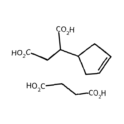 O=C(O)CC(C(=O)O)C1CC=CC1.O=C(O)CCC(=O)O